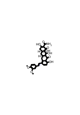 COc1ccc(/C=C/c2ccc(O)c3c2C[C@H]2C[C@H]4CC(O)=C(C(N)=O)C(=O)[C@@]4(O)C(O)=C2C3=O)cc1OC